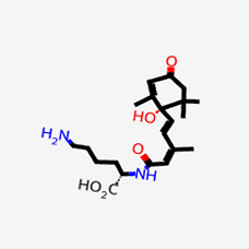 CC1=CC(=O)CC(C)(C)[C@@]1(O)/C=C/C(C)=C\C(=O)N[C@@H](CCCCN)C(=O)O